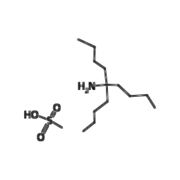 CCCCC(N)(CCCC)CCCC.CS(=O)(=O)O